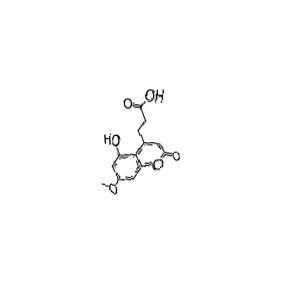 COc1cc(O)c2c(CCC(=O)O)cc(=O)oc2c1